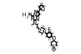 CN(CCN1CCN(c2ccc(OC3CC[S+]([O-])CC3)cc2F)CC1)c1nc(N)n2nc(-c3ccco3)cc2n1